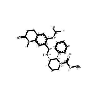 CN1C(=O)CCc2cc(OC(F)F)c(CN[C@H]3CCCN(C(=O)OC(C)(C)C)[C@H]3c3ccccc3)cc21